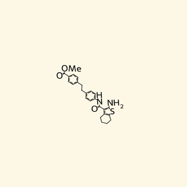 COC(=O)c1ccc(CCc2ccc(NC(=O)c3c(N)sc4c3CCCC4)cc2)cc1